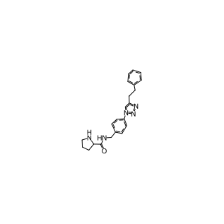 O=C(NCc1ccc(-n2cc(CCc3ccccc3)nn2)cc1)C1CCCN1